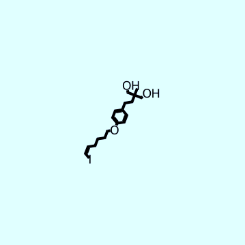 CC(CO)(CO)CCc1ccc(OCCCC/C=C\I)cc1